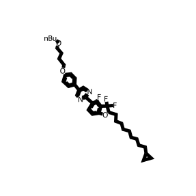 CCCCOCCCCOc1ccc(-c2cnc(-c3ccc4c(c3F)C(F)(F)C(CCCCCCCCCC3CC3)O4)nc2)cc1